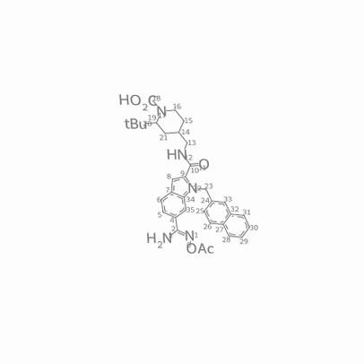 CC(=O)ON=C(N)c1ccc2cc(C(=O)NCC3CCN(C(=O)O)C(C(C)(C)C)C3)n(Cc3ccc4ccccc4c3)c2c1